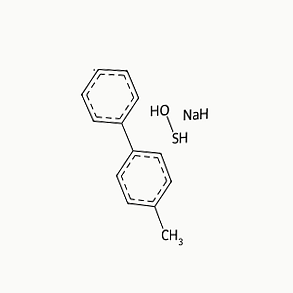 Cc1ccc(-c2cc[c]cc2)cc1.OS.[NaH]